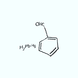 O=Cc1ccccc1.[Hg].[PbH2]